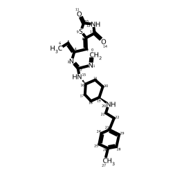 C=N\C(=N/C(=C\C)/C=C1\SC(=O)NC1=O)N[C@H]1CC[C@H](NCCc2ccc(C)cc2)CC1